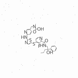 CCCC(O)(CNC(=O)c1nccc(Sc2cnc(Nc3ccc(CN(C)C(=O)O)cn3)s2)c1F)c1ccccc1